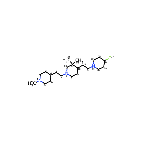 CN1CCC(CCN2CCC(CCN3CCC(F)CC3)C(C)(C)C2)CC1